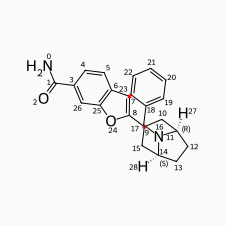 NC(=O)c1ccc2cc(C3C[C@H]4CC[C@@H](C3)N4Cc3ccccc3)oc2c1